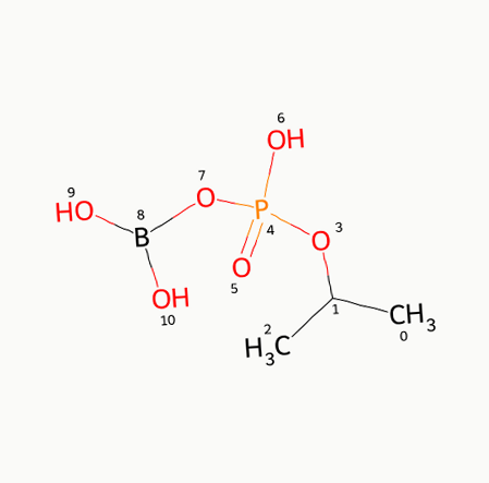 CC(C)OP(=O)(O)OB(O)O